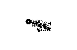 C=C(C)S[C@H]1[C@@H](NC(=O)COc2ccccc2)C(=O)N1C(O)C(=O)OC(C)(C)C